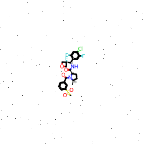 C[C@@H]1CC[C@H](C(=O)N[C@@H](c2cc(F)c(Cl)cc2F)C2(F)COC2)N1C(=O)c1cccc(S(C)(=O)=O)c1